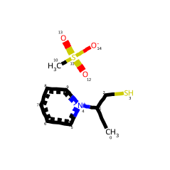 CC(CS)[n+]1ccccc1.CS(=O)(=O)[O-]